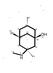 CN[C@@]1(C)C[C@@H]2C[C@H](C)C[C@@](O)(C2)C1